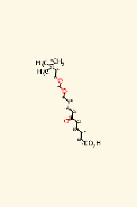 C[Si](C)(C)CCOCOCCCCC(=O)CCCCC(=O)O